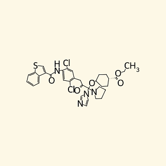 CCOC(=O)[C@H]1CC[C@H](OC(C(=O)Cc2cc(Cl)c(NC(=O)c3csc4ccccc34)cc2Cl)(N2CCCC2)n2ccnc2)CC1